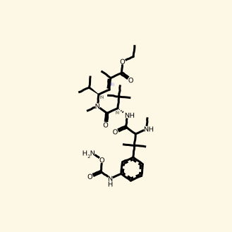 CCOC(=O)/C(C)=C/[C@H](C(C)C)N(C)C(=O)[C@@H](NC(=O)C(NC)C(C)(C)c1cccc(NC(=O)ON)c1)C(C)(C)C